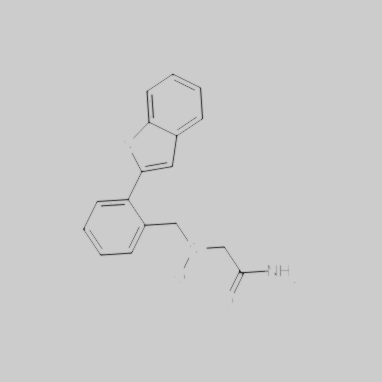 NC(=O)C[S+]([O-])Cc1ccccc1-c1cc2ccccc2s1